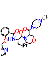 CC(C)C[C@@H](NC(=O)c1ccccc1OCc1ncc(C(C)(C)C)o1)C(=O)N1CCOC[C@@H]1C(=O)N1CCN(C)CC1